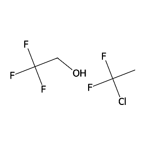 CC(F)(F)Cl.OCC(F)(F)F